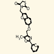 Cc1oc(-c2ccccc2)nc1COc1ccc2cc(CN3C(=O)CSC3=O)oc2c1